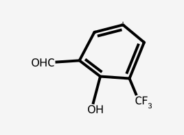 O=Cc1c[c]cc(C(F)(F)F)c1O